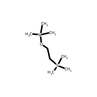 C[Si](C)(C)CCO[Si](C)(C)C